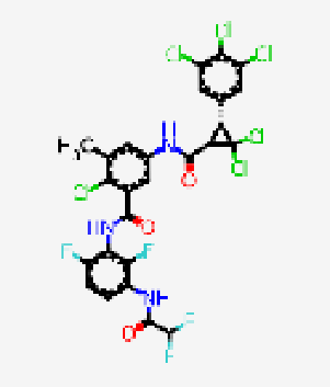 Cc1cc(NC(=O)C2[C@H](c3cc(Cl)c(Cl)c(Cl)c3)C2(Cl)Cl)cc(C(=O)Nc2c(F)ccc(NC(=O)C(F)F)c2F)c1Cl